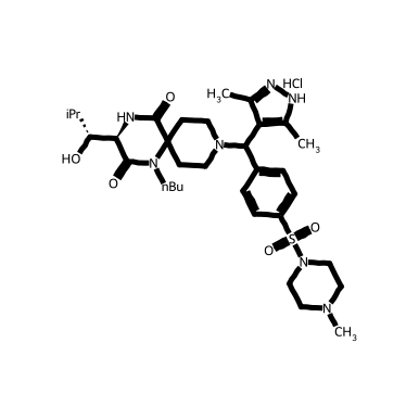 CCCCN1C(=O)[C@@H]([C@H](O)C(C)C)NC(=O)C12CCN(C(c1ccc(S(=O)(=O)N3CCN(C)CC3)cc1)c1c(C)n[nH]c1C)CC2.Cl